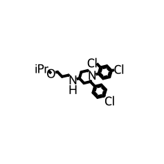 CC(C)OCCCNC1CCN(c2ccc(Cl)cc2Cl)C(c2ccc(Cl)cc2)C1